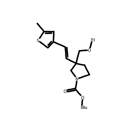 CCOCC1(C=Cc2csc(C)c2)CCN(C(=O)OC(C)(C)C)C1